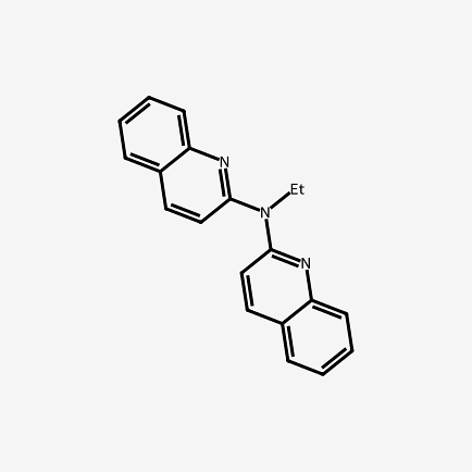 CCN(c1ccc2ccccc2n1)c1ccc2ccccc2n1